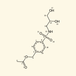 CC(=O)OCc1ccc(S(=O)(=O)NCC(O)CO)cc1